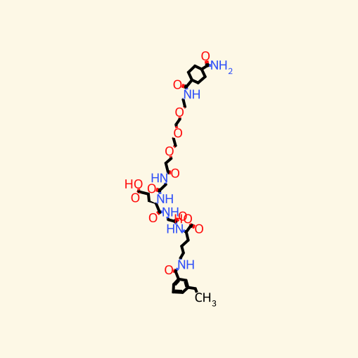 CCc1cccc(C(=O)NCCCCC(NC(=O)CNC(=O)[C@@H](CCC(=O)O)NC(=O)CNC(=O)CCOCCOCCOCCNC(=O)C2CCC(C(N)=O)CC2)C(=O)O)c1